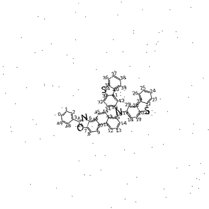 c1ccc(-c2nc3c(ccc4c5cccc(N(c6ccc7sc8ccccc8c7c6)c6ccc7sc8ccccc8c7c6)c5ccc43)o2)cc1